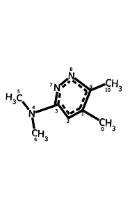 Cc1cc(N(C)C)nnc1C